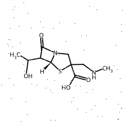 CNCC1(C(=O)O)CN2C(=O)C(C(C)O)[C@H]2S1